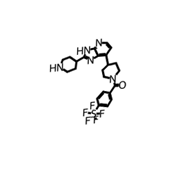 O=C(c1ccc(S(F)(F)(F)(F)F)cc1)N1CCC(c2ccnc3[nH]c(C4CCNCC4)nc23)CC1